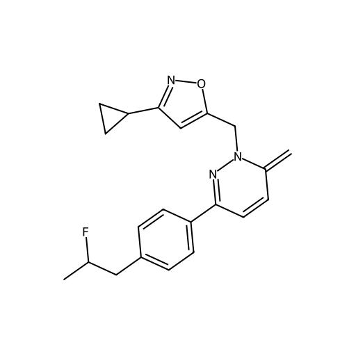 C=C1C=CC(c2ccc(CC(C)F)cc2)=NN1Cc1cc(C2CC2)no1